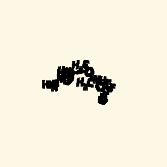 C=C(Nc1ccc(CN2CCCC2)c(C(F)(F)F)c1)c1ccc(C)c(C#CC2=CNC3C(Nc4cn[nH]c4)=CC=CN23)c1